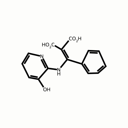 O=C(O)C(C(=O)O)=C(Nc1ncccc1O)c1ccccc1